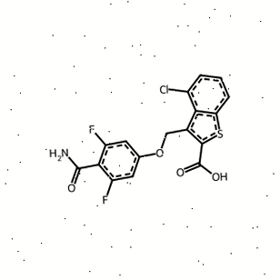 NC(=O)c1c(F)cc(OCc2c(C(=O)O)sc3cccc(Cl)c23)cc1F